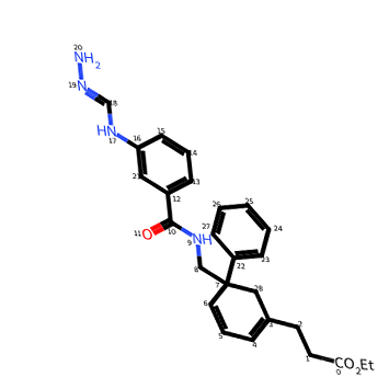 CCOC(=O)CCC1=CC=CC(CNC(=O)c2cccc(NC=NN)c2)(c2ccccc2)C1